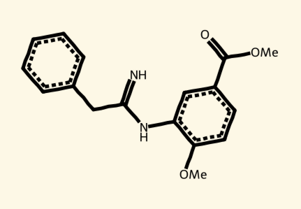 COC(=O)c1ccc(OC)c(NC(=N)Cc2ccccc2)c1